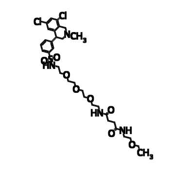 CCOCCNC(=O)CCC(=O)NCCOCCOCCOCCNS(=O)(=O)c1cccc(C2CN(C)Cc3c(Cl)cc(Cl)cc32)c1